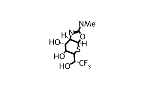 CNC1=N[C@@H]2[C@@H](O)[C@H](O)C([C@@H](O)C(F)(F)F)S[C@@H]2O1